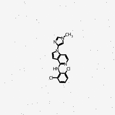 Cn1cnc(-n2ccc3c(Nc4c(Cl)cccc4Cl)nccc32)c1